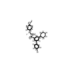 COc1ncc([C@@H](C)NC(=O)c2cc(-c3ccc(C)cc3)cc(C3CCCCC3)c2)cn1